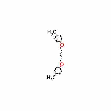 Cc1ccc(OCCCCCOc2ccc(C)cc2)cc1